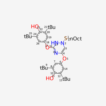 CCCCCCCCSN1C=C(Oc2cc(C(C)(C)C)c(O)c(C(C)(C)C)c2)N=C(Oc2cc(C(C)(C)C)c(O)c(C(C)(C)C)c2)N1